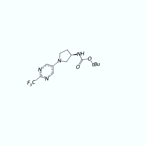 CC(C)(C)OC(=O)N[C@@H]1CCN(c2cnc(C(F)(F)F)nc2)C1